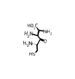 NC(C(=O)O)C(N)C(=O)[C@@H](N)CS